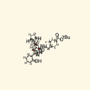 C[C@@H]1CN(C(=O)OC(C)(C)C)CCN1CCOc1cc(N2[C@@H]3CC[C@@H]2CN(c2cc(-c4ccccc4O)nnc2N)C3)ccn1